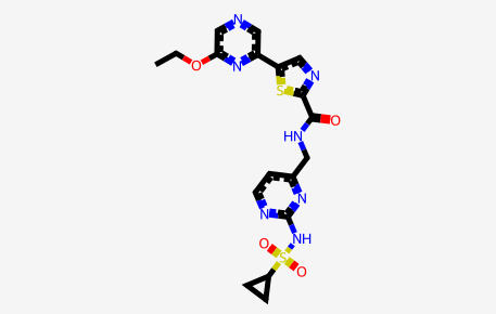 CCOc1cncc(-c2cnc(C(=O)NCc3ccnc(NS(=O)(=O)C4CC4)n3)s2)n1